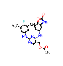 Cc1cc(Nc2ncc(COC(=O)C(F)(F)F)c(Nc3ccc4oc(=O)[nH]c4c3)n2)cc(C)c1F